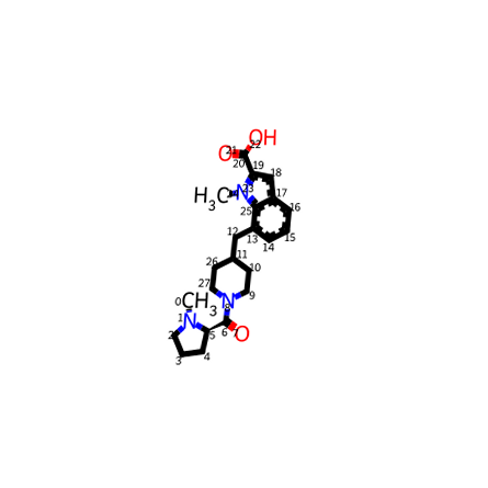 CN1CCC[C@@H]1C(=O)N1CCC(Cc2cccc3cc(C(=O)O)n(C)c23)CC1